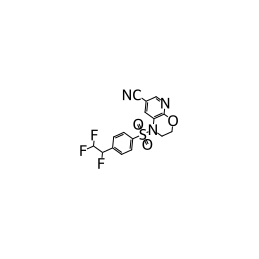 N#Cc1cnc2c(c1)N(S(=O)(=O)c1ccc(C(F)C(F)F)cc1)CCO2